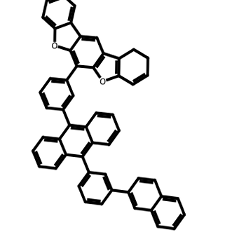 C1=Cc2oc3c(-c4cccc(-c5c6ccccc6c(-c6cccc(-c7ccc8ccccc8c7)c6)c6ccccc56)c4)c4oc5ccccc5c4cc3c2CC1